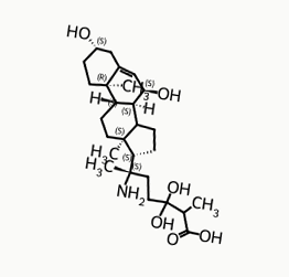 CC(C(=O)O)C(O)(O)CC[C@](C)(N)[C@H]1CCC2[C@@H]3[C@H](O)C=C4C[C@@H](O)CC[C@]4(C)[C@H]3CC[C@@]21C